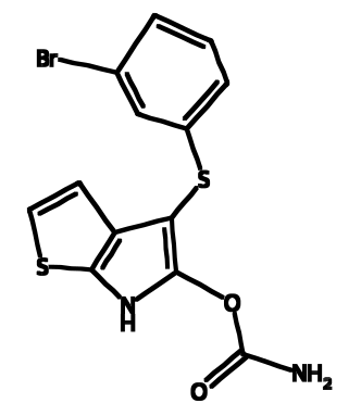 NC(=O)Oc1[nH]c2sccc2c1Sc1cccc(Br)c1